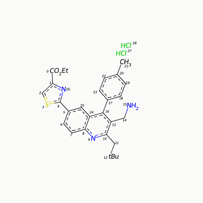 CCOC(=O)c1csc(-c2ccc3nc(CC(C)(C)C)c(CN)c(-c4ccc(C)cc4)c3c2)n1.Cl.Cl